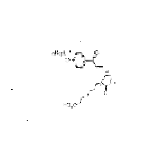 CCCCCCCOc1ccc(C(=O)C=C[C@@H]2CCC(=O)[C@H]2CCCCCCC(=O)O)cc1